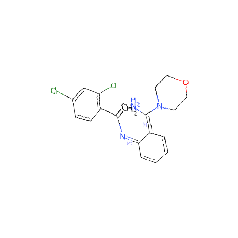 C=C(/N=C1/C=CC=C/C1=C(/N)N1CCOCC1)c1ccc(Cl)cc1Cl